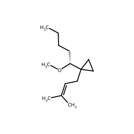 CCCC[C@@H](OC)C1(CC=C(C)C)CC1